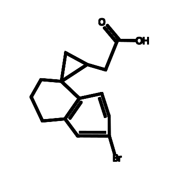 O=C(O)CC1CC12CCCc1cc(Br)ccc12